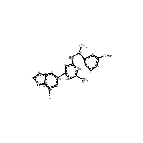 COc1cccc([C@H](C)Nc2cc(-c3cc(F)c4occc4c3)nc(C)n2)c1